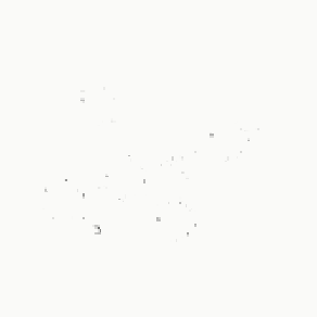 Fc1ccc(C#Cc2c(Cc3ccc(F)cc3)cc(-c3ccccc3Br)nc2-c2ccccc2Br)cc1